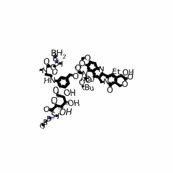 B/B=S(\I)OC(=O)N(C)CC(=O)Nc1cc(COC(=O)N(C(=O)OC(C)(C)C)c2c3c(cc4nc5c(c(CCCC)c24)Cn2c-5cc4c(c2=O)COC(=O)[C@]4(O)CC)OCO3)ccc1O[C@@H]1OC(C(=O)/S(I)=B/B=O)[C@@H](O)[C@H](O)C1O